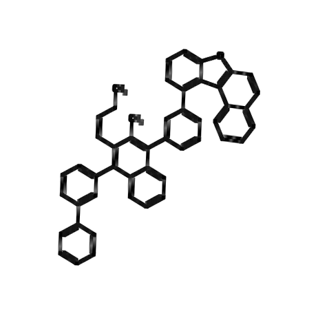 CC/C=C\c1c(C)c(-c2cccc(-c3cccc4oc5ccc6ccccc6c5c34)c2)c2ccccc2c1-c1cccc(-c2ccccc2)c1